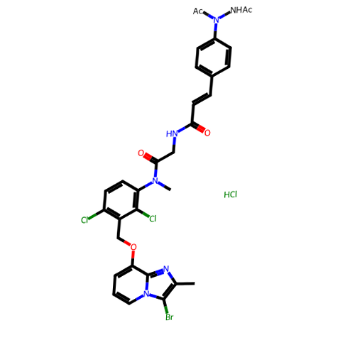 CC(=O)NN(C(C)=O)c1ccc(C=CC(=O)NCC(=O)N(C)c2ccc(Cl)c(COc3cccn4c(Br)c(C)nc34)c2Cl)cc1.Cl